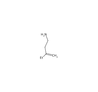 C=C(CC)CCN